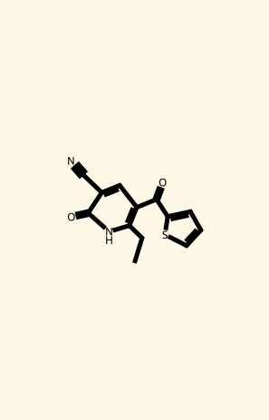 CCc1[nH]c(=O)c(C#N)cc1C(=O)c1cccs1